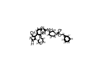 Cc1n[nH]cc1-c1ccc2nc(NC3CCCN(C(=O)OCc4ccccc4)C3)nn2c1N1CCOCC1